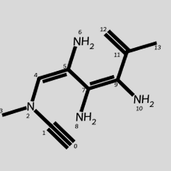 C#CN(C)/C=C(N)\C(N)=C(\N)C(=C)C